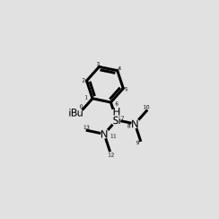 CCC(C)c1ccccc1[SiH](N(C)C)N(C)C